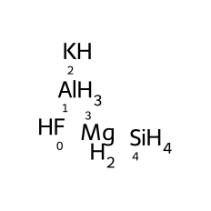 F.[AlH3].[KH].[MgH2].[SiH4]